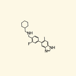 Cc1cc2[nH]cnc2cc1-c1ccc(CNCC2CCCCC2)c(F)c1